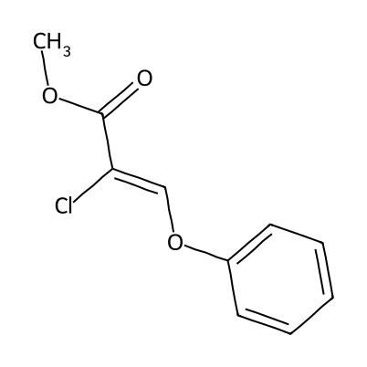 COC(=O)C(Cl)=COc1ccccc1